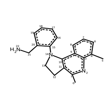 Cc1nc2c(C)cccc2c2c1CCN2c1ccccc1CN